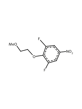 COCCOc1c(F)cc([N+](=O)[O-])cc1F